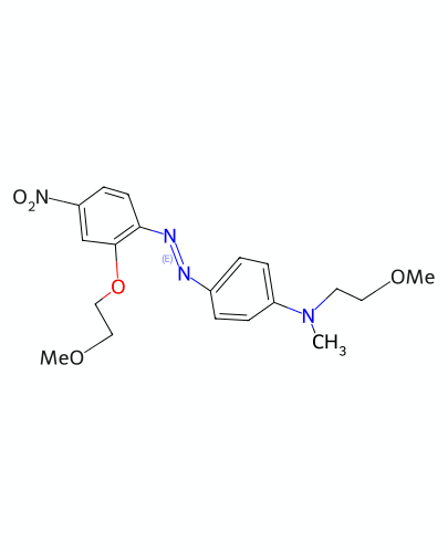 COCCOc1cc([N+](=O)[O-])ccc1/N=N/c1ccc(N(C)CCOC)cc1